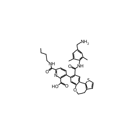 CCCCNC(=O)c1ccc(-c2cc3c(cc2C(=O)Nc2c(C)cc(CN)cc2C)-c2sccc2CCO3)c(C(=O)O)n1